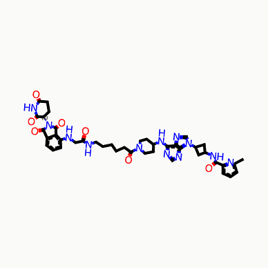 Cc1cccc(C(=O)NC2CC(n3cnc4c(NC5CCN(C(=O)CCCCCNC(=O)CNc6cccc7c6C(=O)N([C@H]6CCC(=O)NC6=O)C7=O)CC5)ncnc43)C2)n1